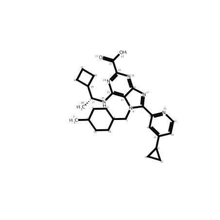 CC1CCC(Cn2c(-c3cc(C4CC4)ccn3)nc3nc(C(=O)O)nc(N[C@H](C)C4CCC4)c32)CC1